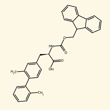 Cc1ccccc1-c1ccc(C[C@@H](NC(=O)OCC2c3ccccc3-c3ccccc32)C(=O)O)cc1C